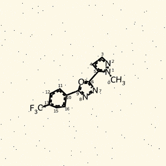 Cn1nccc1-c1nnc(-c2ccc(C(F)(F)F)cc2)o1